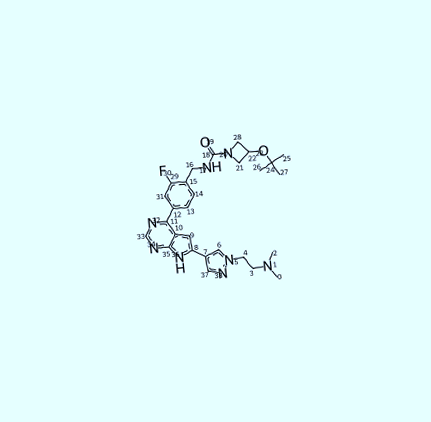 CN(C)CCn1cc(-c2cc3c(-c4ccc(CNC(=O)N5CC(OC(C)(C)C)C5)c(F)c4)ncnc3[nH]2)cn1